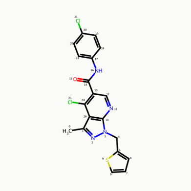 Cc1nn(Cc2cccs2)c2ncc(C(=O)Nc3ccc(Cl)cc3)c(Cl)c12